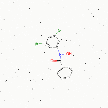 O=C(c1ccccc1)N(O)c1cc(Br)cc(Br)c1